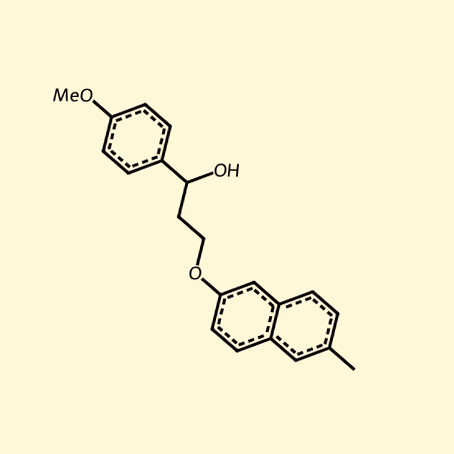 COc1ccc(C(O)CCOc2ccc3cc(C)ccc3c2)cc1